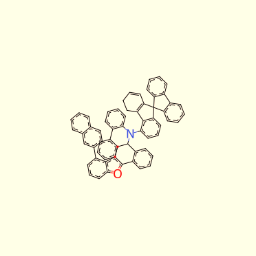 C1=CC2=C(CC1)c1c(N(c3ccccc3-c3ccccc3)C3Cc4c(oc5cccc(-c6ccc7ccccc7c6)c45)-c4ccccc43)cccc1C21c2ccccc2-c2ccccc21